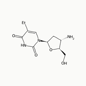 CCc1cn([C@H]2C[C@H](N)[C@@H](CO)O2)c(=O)[nH]c1=O